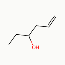 C=CCC(O)CC